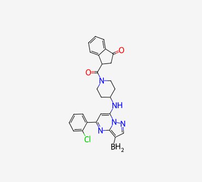 Bc1cnn2c(NC3CCN(C(=O)C4CC(=O)c5ccccc54)CC3)cc(-c3ccccc3Cl)nc12